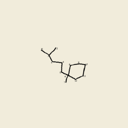 CC(C)CCCC1(C)CCCCC1